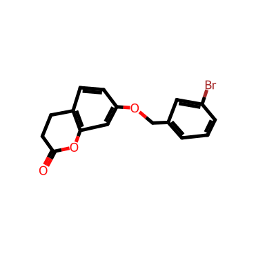 O=C1CCc2ccc(OCc3cccc(Br)c3)cc2O1